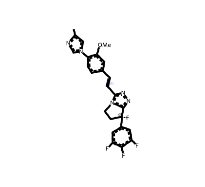 COc1cc(/C=C/c2nnc3n2CC[C@]3(F)c2cc(F)c(F)c(F)c2)ccc1-n1cnc(C)c1